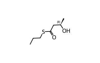 CCCSC(=O)C[C@@H](C)O